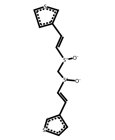 [O-][S+](C=Cc1ccsc1)C[S+]([O-])/C=C/c1ccsc1